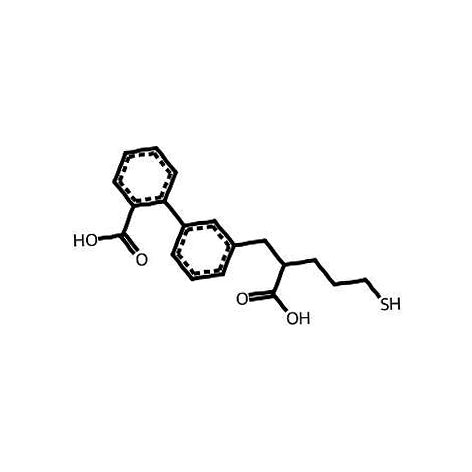 O=C(O)c1ccccc1-c1cccc(CC(CCCS)C(=O)O)c1